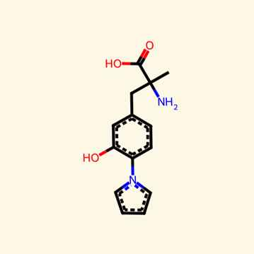 CC(N)(Cc1ccc(-n2cccc2)c(O)c1)C(=O)O